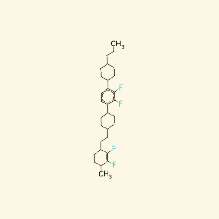 CCCC1CCC(c2ccc(C3CCC(CCC4CCC(C)C(F)=C4F)CC3)c(F)c2F)CC1